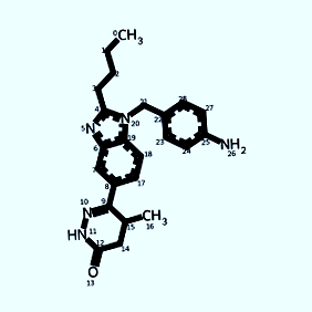 CCCCc1nc2cc(C3=NNC(=O)CC3C)ccc2n1Cc1ccc(N)cc1